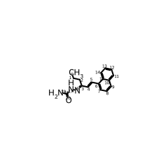 CCCC(/C=C/c1cccc2ccccc12)=N\NC(N)=O